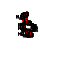 CC(C)[C@H](NC(=O)CCN1C(=O)C=CC1=O)C(=O)N[C@@H](C)C(=O)Nc1ccc(COc2cc3ccccc3nc2C(=O)N[C@@H]2CNC(=O)[C@H](C(C)C)N(C)C(=O)CN(C)C(=O)CNC(=O)[C@@H]3CCCCN3C(=O)[C@H](NC(=O)c3nc4ccccc4cc3O[C@@H]3O[C@H](C(=O)O)[C@@H](O)[C@H](O)[C@H]3O)CNC(=O)[C@H](C(C)C)N(C)C(=O)CN(C)C(=O)CNC(=O)[C@@H]3CCCCN3C2=O)cc1